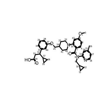 COc1ccc(C(=O)N(CC2CC2)c2cc(C)ccn2)c(N2CCC(COc3cccc(C(CC(=O)O)C4CC4)c3)CC2)c1